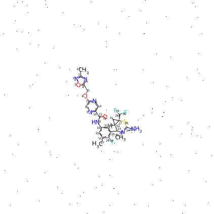 Cc1noc(COc2cnc(C(=O)Nc3cc(C)c(F)c([C@]4(C)N=C(N)S[C@@]5(C(F)F)C[C@@H]45)c3)cn2)n1